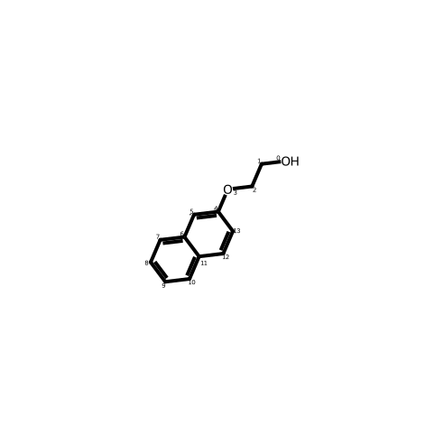 OCCOc1[c]c2ccccc2cc1